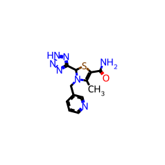 CC1=C(C(N)=O)SC(c2nn[nH]n2)N1Cc1cccnc1